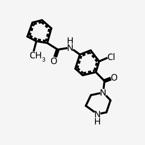 Cc1ccccc1C(=O)Nc1ccc(C(=O)N2CCNCC2)c(Cl)c1